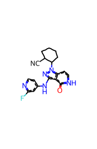 N#CC1CCCCC1n1nc(Nc2ccnc(F)c2)c2c(=O)[nH]ccc21